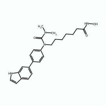 CN(C)C(=O)N(CCCCCCC(=O)NO)c1ccc(-c2ccc3cc[nH]c3c2)cc1